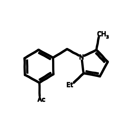 CCc1ccc(C)n1Cc1cccc(C(C)=O)c1